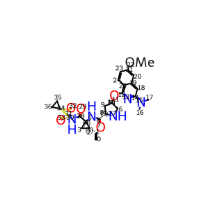 C=C[C@@H]1C[C@]1(NC(=O)[C@@H]1C[C@@H](Oc2nc(N(C)C)cc3cc(OC)ccc23)CN1)C(=O)NS(=O)(=O)C1CC1